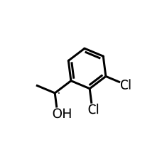 C[C](O)c1cccc(Cl)c1Cl